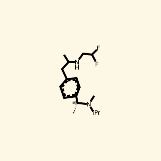 CC(Cc1ccc([C@@H](C)N(C)C(C)C)cc1)NCC(F)F